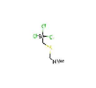 CNCS[CH2][Sn]([Cl])([Cl])[Cl]